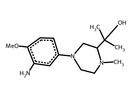 COc1ccc(N2CCN(C)C(C(C)(C)O)C2)cc1N